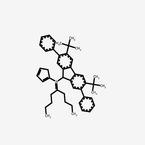 CCCC[C](CCCC)=[Zr]([C]1=CC=CC1)[CH]1c2cc(-c3ccccc3)c(C(C)(C)C)cc2-c2cc(C(C)(C)C)c(-c3ccccc3)cc21